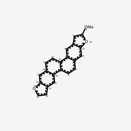 COc1cc2cc3c(ccc4c5cc6ccoc6cc5ccc34)cc2o1